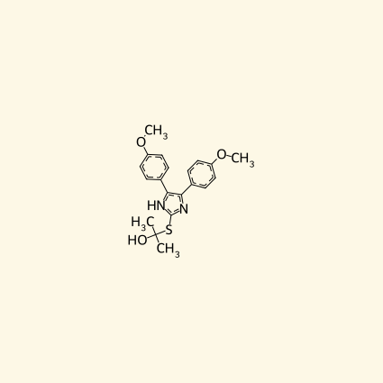 COc1ccc(-c2nc(SC(C)(C)O)[nH]c2-c2ccc(OC)cc2)cc1